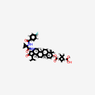 CC(C)C1=C2[C@H]3CC[C@@H]4[C@@]5(C)CC[C@H](OC(=O)[C@H]6C[C@@H](C(=O)O)C6(C)C)C(C)(C)C5CC[C@@]4(C)[C@]3(C)CC[C@@]2(NC(=O)C2(NC(=O)c3ccc(F)cc3)CC2)CC1=O